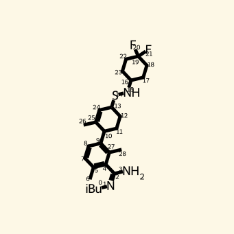 CCC(C)/N=C(/N)c1c(C)ccc(C2CCC(SNC3CCC(F)(F)CC3)C=C2C)c1C